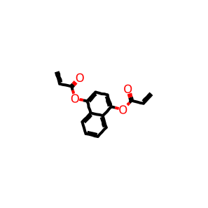 C=CC(=O)Oc1ccc(OC(=O)C=C)c2ccccc12